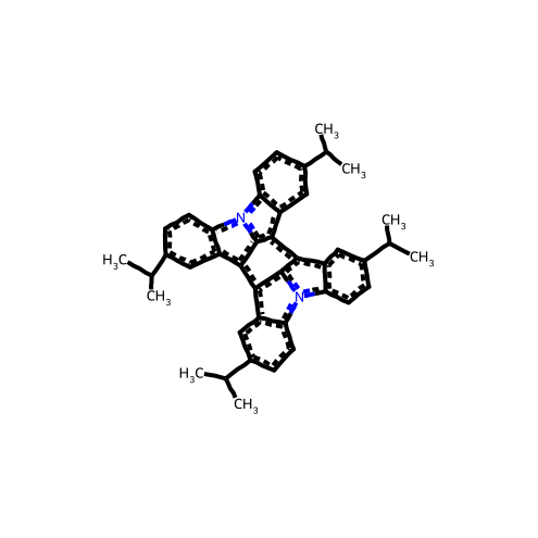 CC(C)c1ccc2c(c1)c1c3c4cc(C(C)C)ccc4n4c5ccc(C(C)C)cc5c(c5c6cc(C(C)C)ccc6n2c15)c34